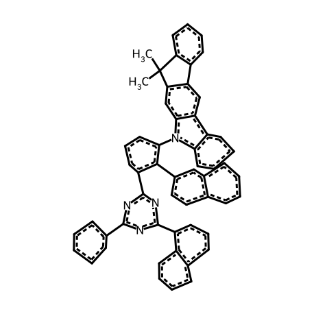 CC1(C)c2ccccc2-c2cc3c4ccccc4n(-c4cccc(-c5nc(-c6ccccc6)nc(-c6cccc7ccccc67)n5)c4-c4ccc5ccccc5c4)c3cc21